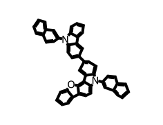 c1ccc2cc(-n3c4ccccc4c4cc(-c5ccc6c(c5)c5c7oc8ccccc8c7ccc5n6-c5ccc6ccccc6c5)ccc43)ccc2c1